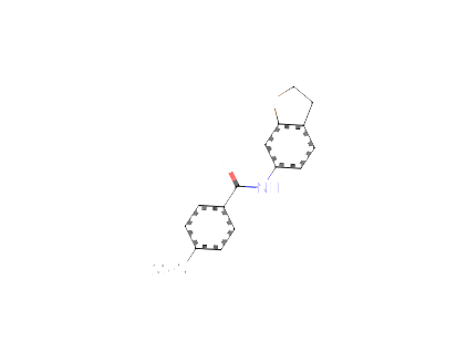 CNc1ccc(C(=O)Nc2ccc3c(c2)SCC3)cc1